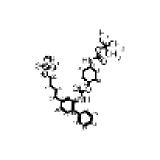 CC(C)(C)OC(=O)NC1CCC(OC(=O)Nc2cc(CCCCOS(C)(=O)=O)ccc2-c2ccccc2)CC1